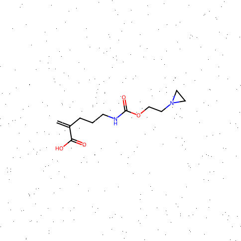 C=C(CCCNC(=O)OCCN1CC1)C(=O)O